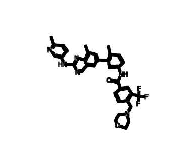 Cc1ccc(Nc2ncc3cc(-c4cc(NC(=O)c5ccc(CN6CCOCC6)c(C(F)(F)F)c5)ccc4C)cc(C)c3n2)cn1